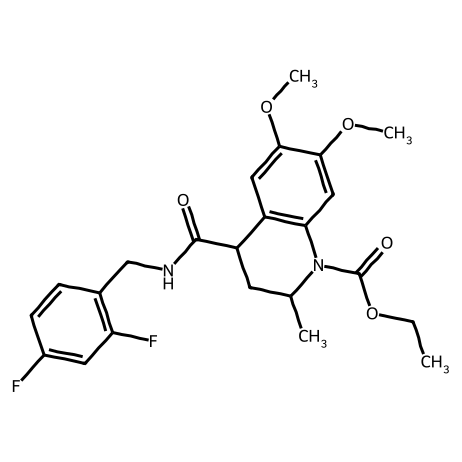 CCOC(=O)N1c2cc(OC)c(OC)cc2C(C(=O)NCc2ccc(F)cc2F)CC1C